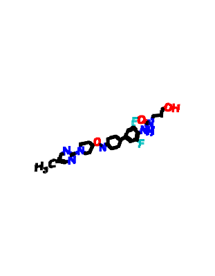 Cc1cnc(N2CCC(ON=C3CCC(c4cc(F)c(NC(=O)NCCCO)c(F)c4)CC3)CC2)nc1